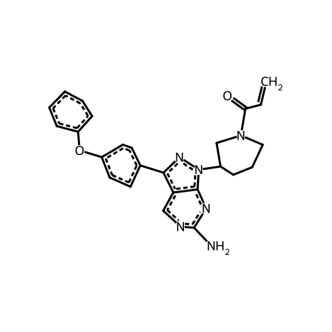 C=CC(=O)N1CCCC(n2nc(-c3ccc(Oc4ccccc4)cc3)c3cnc(N)nc32)C1